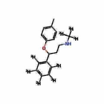 [2H]c1c([2H])c([2H])c(C(CCNC([2H])([2H])[2H])Oc2ccc(C)cc2)c([2H])c1[2H]